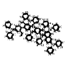 CCc1cc(N(c2ccccc2)c2ccccc2)ccc1-c1cc2c3c(c1CC)N(c1ccccc1)c1ccccc1B3c1cc3c(cc1N2c1ccccc1)N(c1ccccc1)c1c2c(cc4cc(N(c5ccccc5)c5ccccc5)ccc14)N(c1ccccc1)c1ccccc1B32